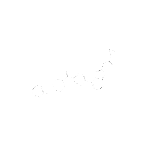 N=C(c1ccc(-c2cccc3nc(NC(=O)C4CC4)nn23)cc1)N1CCC(Oc2cccnc2)CC1